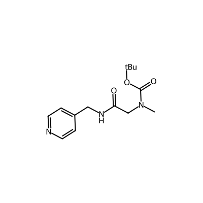 CN(CC(=O)NCc1ccncc1)C(=O)OC(C)(C)C